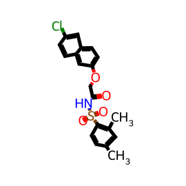 Cc1ccc(S(=O)(=O)NC(=O)COc2ccc3cc(Cl)ccc3c2)c(C)c1